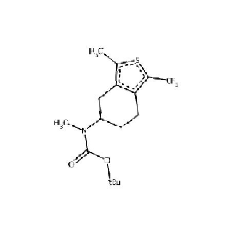 Cc1sc(C(F)(F)F)c2c1CC(N(C)C(=O)OC(C)(C)C)CC2